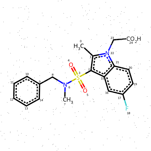 Cc1c(S(=O)(=O)N(C)Cc2ccccc2)c2cc(F)ccc2n1CC(=O)O